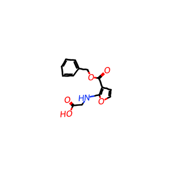 O=C(O)CNc1occc1C(=O)OCc1ccccc1